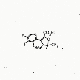 CCOC(=O)C1=C(c2ccc(F)c(F)c2OC)[C@H](C)[C@](C)(C(F)(F)F)O1